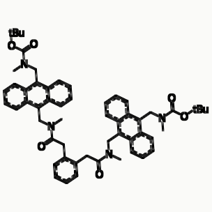 CN(Cc1c2ccccc2c(CN(C)C(=O)OC(C)(C)C)c2ccccc12)C(=O)Cc1ccccc1CC(=O)N(C)Cc1c2ccccc2c(CN(C)C(=O)OC(C)(C)C)c2ccccc12